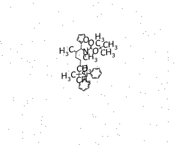 C[C@H](CCCO[Si](c1ccccc1)(c1ccccc1)C(C)(C)C)[C@@H](c1ccco1)N(C)C(=O)OC(C)(C)C